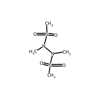 CN(N(C)S(C)(=O)=O)S(C)(=O)=O